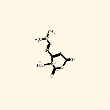 CN(C)C=NC1=CC(=O)[N]C(=O)N1C